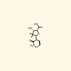 CC(=O)/C=C\N(C(N)=O)[C@@H]1O[C@H](C(C)O)[C@@H](O)C1(C)C